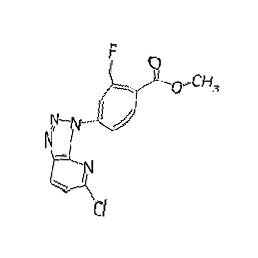 COC(=O)c1ccc(-n2nnc3ccc(Cl)nc32)cc1F